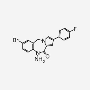 NN1C(=O)c2cc(-c3ccc(F)cc3)cn2Cc2cc(Br)ccc21